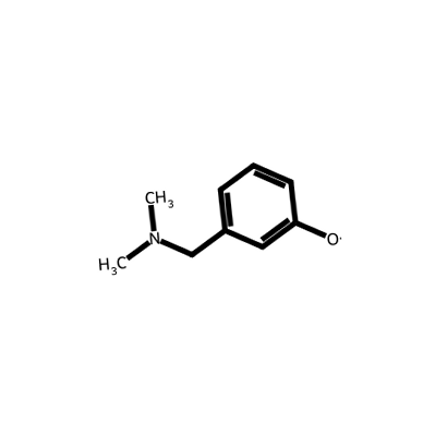 CN(C)Cc1cccc([O])c1